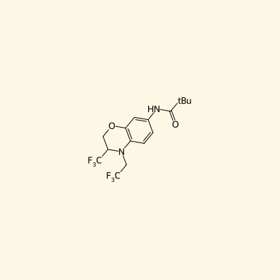 CC(C)(C)C(=O)Nc1ccc2c(c1)OCC(C(F)(F)F)N2CC(F)(F)F